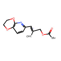 CC(C)(C)C(=O)OC/C(C=O)=C/c1ccc2c(n1)OCCO2